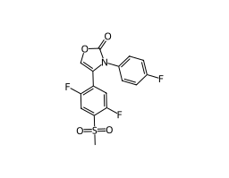 CS(=O)(=O)c1cc(F)c(-c2coc(=O)n2-c2ccc(F)cc2)cc1F